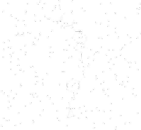 CC(=O)NC(C)c1ccc2oc(N3CC(Oc4cccc(OCC5CC5)c4)C3)nc2c1